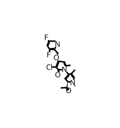 CC(=O)[C@H]1C=C(n2c(C)cc(OCc3ncc(F)cc3F)c(Cl)c2=O)C(C)=CN1C